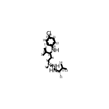 C=C(C)C(CCN(C)NN[C@@H](C)C(C)C)Nc1ccc(Cl)cc1